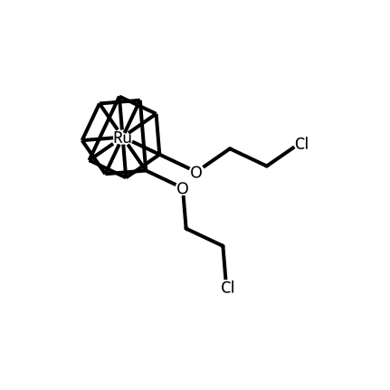 ClCCO[C]12[CH]3[CH]4[CH]5[CH]1[Ru]45321678[CH]2[CH]1[CH]6[C]7(OCCCl)[CH]28